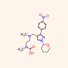 CN(CCN(C)C(=O)O)Cc1cn(C2CCCCO2)nc1-c1ccc([N+](=O)[O-])cc1